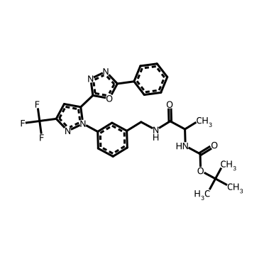 CC(NC(=O)OC(C)(C)C)C(=O)NCc1cccc(-n2nc(C(F)(F)F)cc2-c2nnc(-c3ccccc3)o2)c1